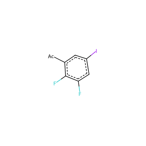 CC(=O)c1cc(I)cc(F)c1F